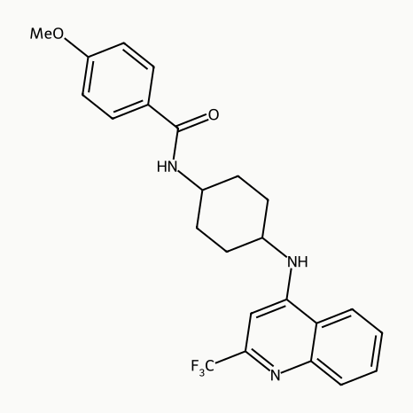 COc1ccc(C(=O)NC2CCC(Nc3cc(C(F)(F)F)nc4ccccc34)CC2)cc1